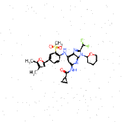 Cc1cc(-c2ccc(Nc3cc(NC(=O)C4CC4)nc4c3nc(C(F)F)n4C3CCCCO3)c(S(C)(=O)=O)c2)oc1C